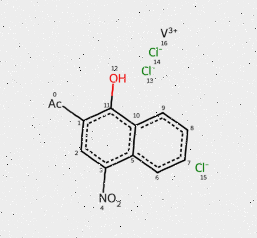 CC(=O)c1cc([N+](=O)[O-])c2ccccc2c1O.[Cl-].[Cl-].[Cl-].[V+3]